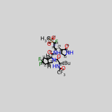 CC(C)(C)[C@@H](NC(=O)C(F)(F)F)C(=O)N1C[C@@H]2CC(F)(F)C[C@@H]2[C@@H]1C(=O)N[C@H](/C=C(\F)S(C)(=O)=O)C[C@@H]1CCNC1=O